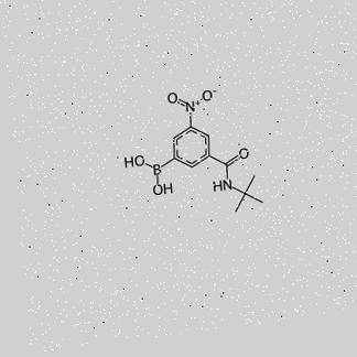 CC(C)(C)NC(=O)c1cc(B(O)O)cc([N+](=O)[O-])c1